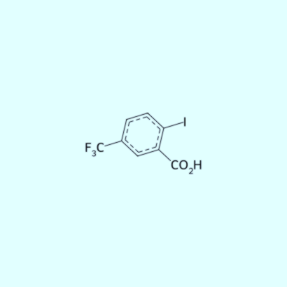 O=C(O)c1cc(C(F)(F)F)ccc1I